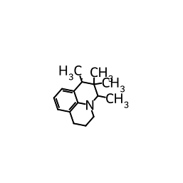 C[C]1c2cccc3c2N(CCC3)C(C)C1(C)C